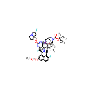 COCOc1cc(-c2ncc3c(N4CC5CC(CN(C(=O)OC(C)(C)C)C5)C4)nc(OC[C@@]45CCCN4C[C@H](F)C5)nc3c2F)c2c(C#C[Si](C(C)C)(C(C)C)C(C)C)c(F)ccc2c1